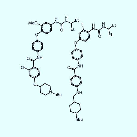 CCCCN1CCC(CNc2ccc(C(=O)Nc3ccc(Oc4ccc(NC(=O)NC(CC)CC)c(F)c4)cc3)cc2)CC1.CCCCN1CCC(Oc2ccc(C(=O)Nc3ccc(Oc4ccc(NC(=O)NC(CC)CC)cc4OC)cc3)c(Cl)c2)CC1